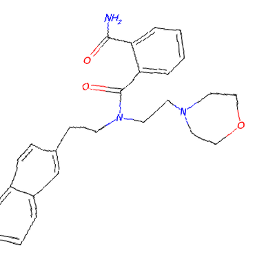 NC(=O)c1ccccc1C(=O)N(CCc1ccc2ccccc2c1)CCN1CCOCC1